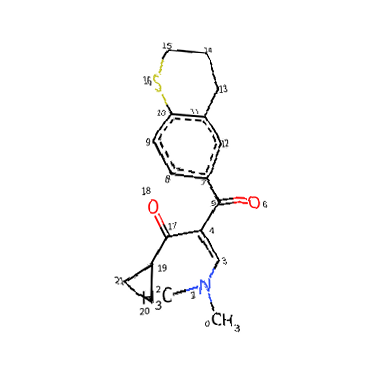 CN(C)/C=C(/C(=O)c1ccc2c(c1)CCCS2)C(=O)C1CC1